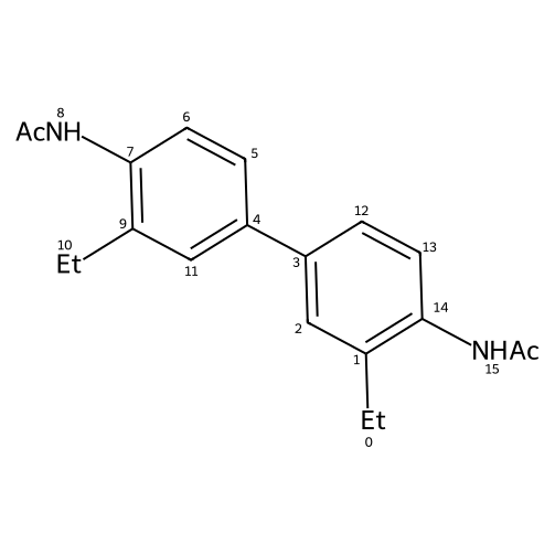 CCc1cc(-c2ccc(NC(C)=O)c(CC)c2)ccc1NC(C)=O